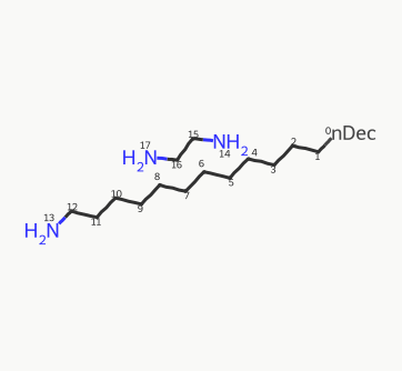 CCCCCCCCCCCCCCCCCCCCCCN.NCCN